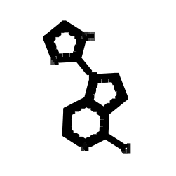 Clc1nccc2c1ccn2-c1ncc[nH]1